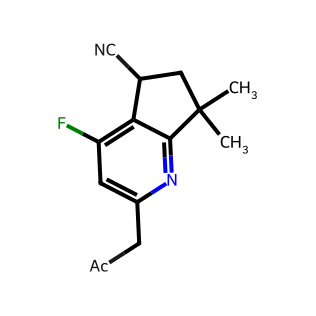 CC(=O)Cc1cc(F)c2c(n1)C(C)(C)CC2C#N